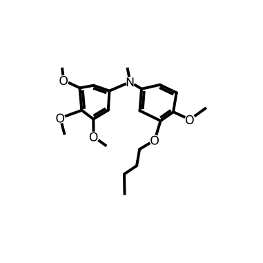 CCCCOc1cc(N(C)c2cc(OC)c(OC)c(OC)c2)ccc1OC